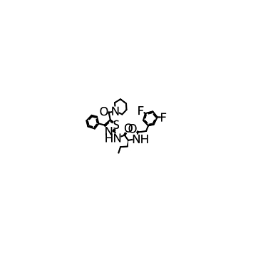 CCC[C@H](NC(=O)Cc1cc(F)cc(F)c1)C(=O)Nc1nc(-c2ccccc2)c(C(=O)N2CCCCC2)s1